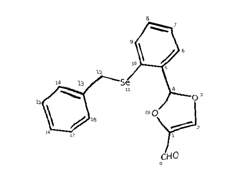 O=CC1=COC(c2ccccc2[Se]Cc2ccccc2)O1